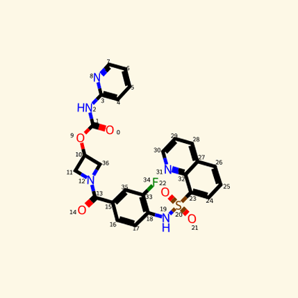 O=C(Nc1ccccn1)OC1CN(C(=O)c2ccc(NS(=O)(=O)c3cccc4cccnc34)c(F)c2)C1